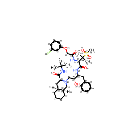 CC(C)(C)NC(=O)[C@@H]1C[C@@H]2CCCC[C@@H]2CN1C[C@@H](O)[C@H](Cc1ccccc1)NC(=O)[C@@H](NC(=O)COc1cccc(F)c1)C(C)(C)S(C)(=O)=O